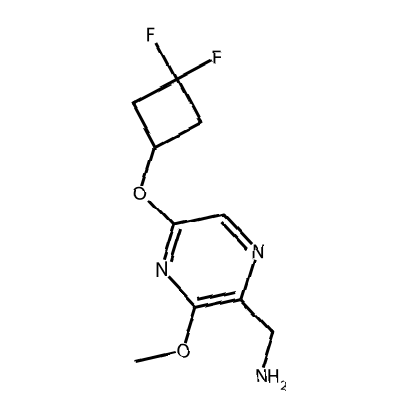 COc1nc(OC2CC(F)(F)C2)cnc1CN